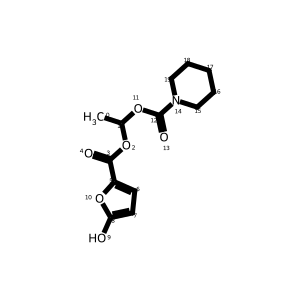 CC(OC(=O)c1ccc(O)o1)OC(=O)N1CCCCC1